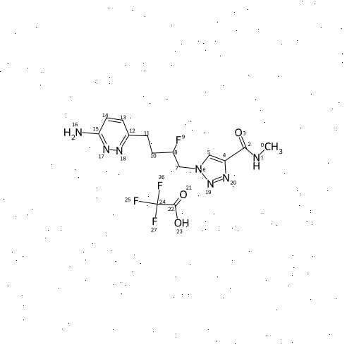 CNC(=O)c1cn(CC(F)CCc2ccc(N)nn2)nn1.O=C(O)C(F)(F)F